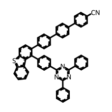 N#Cc1ccc(-c2ccc(-c3ccc(-c4ccc5sc6ccccc6c5c4-c4ccc(-c5nc(-c6ccccc6)nc(-c6ccccc6)n5)cc4)cc3)cc2)cc1